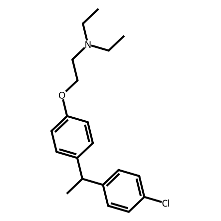 CCN(CC)CCOc1ccc(C(C)c2ccc(Cl)cc2)cc1